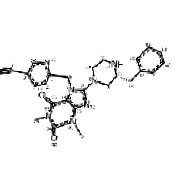 C#Cc1ccc(Cn2c(N3CCN[C@H](Cc4ccccc4)C3)nc3c2c(=O)n(C)c(=O)n3C)nc1